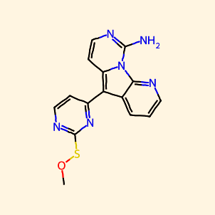 COSc1nccc(-c2c3cccnc3n3c(N)nccc23)n1